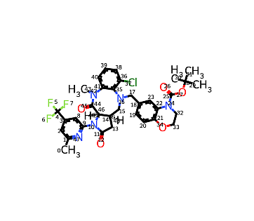 Cc1cc(C(F)(F)F)cc(N2C(=O)C[C@@H]3CN(Cc4ccc5c(c4)N(C(=O)OC(C)(C)C)CCO5)c4c(Cl)cccc4N(C)C(=O)[C@H]32)n1